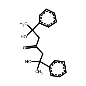 CC(O)(CC(=O)CC(C)(O)c1ccccc1)c1ccccc1